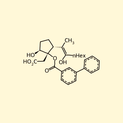 CCCCCCC(O)=C(C)[C@H]1CC[C@H](O)[C@@]1(CC(=O)O)OC(=O)c1cccc(-c2ccccc2)c1